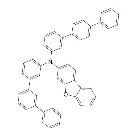 c1ccc(-c2ccc(-c3cccc(N(c4cccc(-c5cccc(-c6ccccc6)c5)c4)c4ccc5c(c4)oc4ccccc45)c3)cc2)cc1